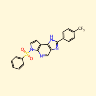 O=S(=O)(c1ccccc1)n1ccc2c3[nH]c(-c4ccc(C(F)(F)F)cc4)nc3cnc21